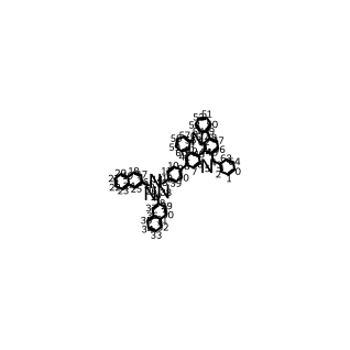 c1ccc(-c2nc3cc(-c4ccc(-c5nc(-c6ccc7ccccc7c6)nc(-c6ccc7ccccc7c6)n5)cc4)ccc3c3c2ccc2c4ccccc4n(-c4ccccc4)c23)cc1